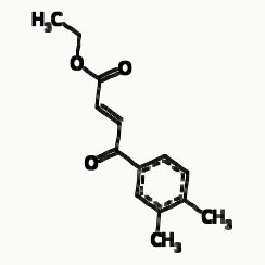 CCOC(=O)/C=C/C(=O)c1ccc(C)c(C)c1